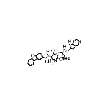 COc1ncc(N[C@H](C)c2ccc3oc4ccccc4c3c2)c(=O)n1CC(=O)NCc1cc2cnccc2[nH]1